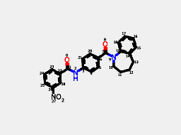 O=C(Nc1ccc(C(=O)N2CCCCc3ccccc32)cc1)c1cccc([N+](=O)[O-])c1